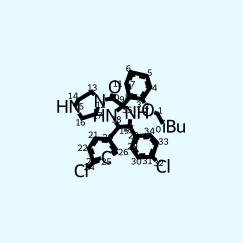 CCC(C)COc1ccccc1C1(C(=O)N2CCNCC2)NC(c2ccc(Cl)cc2)C(c2ccc(Cl)cc2)N1